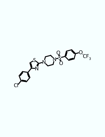 O=S(=O)(c1ccc(OC(F)(F)F)cc1)N1CCN(c2nc(-c3ccc(Cl)cc3)cs2)CC1